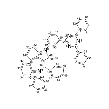 c1ccc(-c2nc(-c3ccccc3)nc(-c3cccc(-n4c5ccccc5c5c(-n6c7ccccc7c7ccccc76)c6ccccc6cc54)c3)n2)cc1